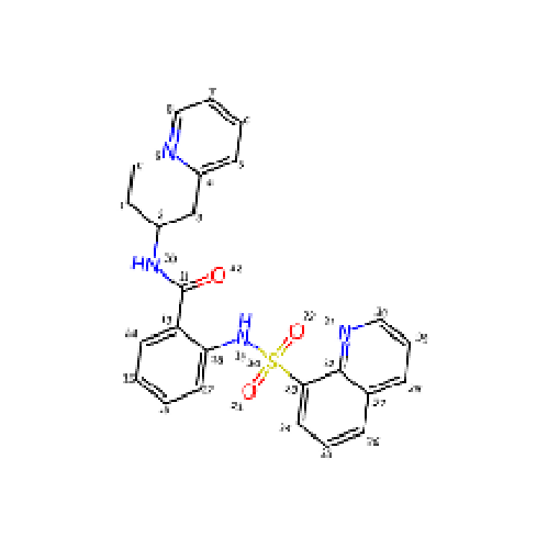 CCC(Cc1ccccn1)NC(=O)c1ccccc1NS(=O)(=O)c1cccc2cccnc12